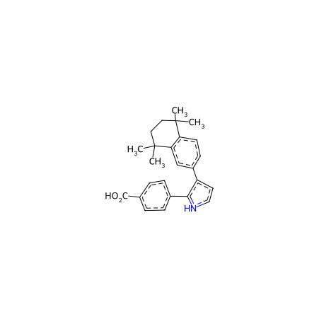 CC1(C)CCC(C)(C)c2cc(-c3cc[nH]c3-c3ccc(C(=O)O)cc3)ccc21